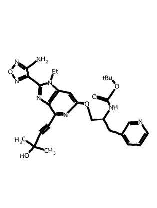 CCn1c(-c2nonc2N)nc2c(C#CC(C)(C)O)nc(OC[C@H](Cc3cccnc3)NC(=O)OC(C)(C)C)cc21